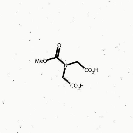 [CH2]OC(=O)N(CC(=O)O)CC(=O)O